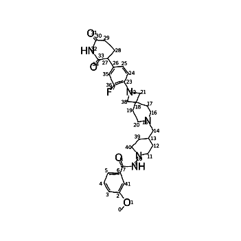 COc1cccc(C(=O)NN2CCC(CN3CCC4(CC3)CN(c3ccc(C5CCC(=O)NC5=O)cc3F)C4)CC2)c1